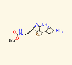 CC(C)(C)OC(=O)NCC#Cc1cnc(N)c2c(-c3ccc(N)cc3)csc12